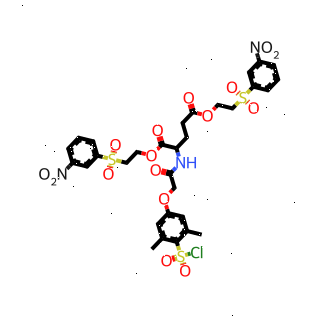 Cc1cc(OCC(=O)NC(CCC(=O)OCCS(=O)(=O)c2cccc([N+](=O)[O-])c2)C(=O)OCCS(=O)(=O)c2cccc([N+](=O)[O-])c2)cc(C)c1S(=O)(=O)Cl